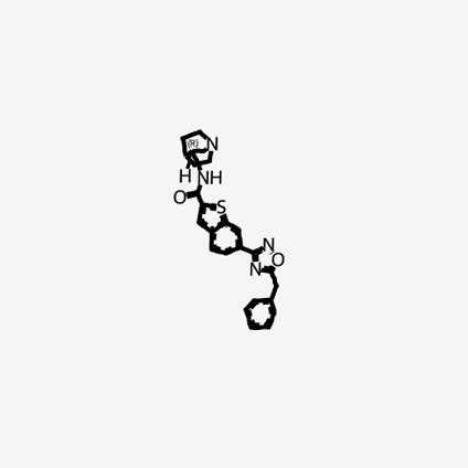 O=C(N[C@H]1CN2CCC1CC2)c1cc2ccc(-c3noc(Cc4ccccc4)n3)cc2s1